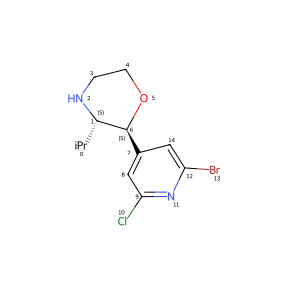 CC(C)[C@@H]1NCCO[C@H]1c1cc(Cl)nc(Br)c1